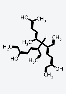 C=C/C(O)=C\C=C(/C=C)C(I)(/C(C)=C/C=C(\C)O)/C(C=C)=C/C=C(/O)C=C